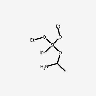 CCO[Si](OCC)(OC(C)N)C(C)C